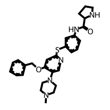 CN1CCN(c2cnc(Sc3cccc(NC(=O)C4CCCN4)c3)cc2OCc2ccccc2)CC1